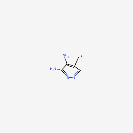 CC(C)c1cnnc(N)c1N